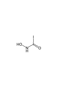 O=C(I)NO